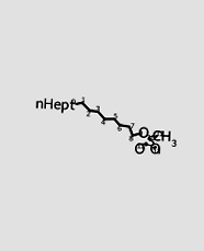 CCCCCCCCCCCCCCCOS(C)(=O)=O